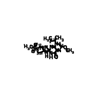 CCC(C)N1C=C(OC)N=C2C(=O)NC(N)(NC3CCN(S(C)(=O)=O)CC3)N=C21